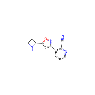 N#Cc1ncccc1-c1cc(C2CCN2)on1